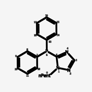 CCCCCn1ncnc1P(c1ccccc1)c1ccccc1